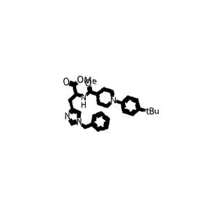 COC(=O)C(Cc1cn(Cc2ccccc2)cn1)NC(=O)C1CCN(c2ccc(C(C)(C)C)cc2)CC1